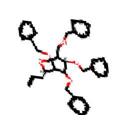 C=CC[C@H]1O[C@]2(OCc3ccccc3)C(COCc3ccccc3)[C@@H](OCc3ccccc3)C(OCc3ccccc3)C12